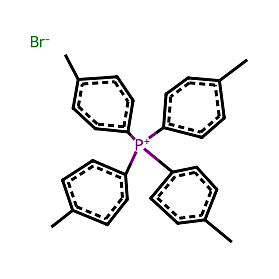 Cc1ccc([P+](c2ccc(C)cc2)(c2ccc(C)cc2)c2ccc(C)cc2)cc1.[Br-]